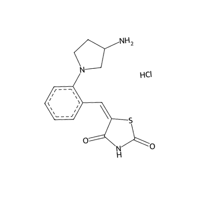 Cl.NC1CCN(c2ccccc2C=C2SC(=O)NC2=O)C1